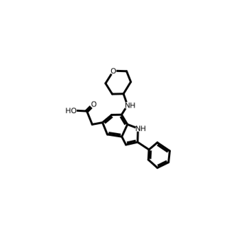 O=C(O)Cc1cc(NC2CCOCC2)c2[nH]c(-c3ccccc3)cc2c1